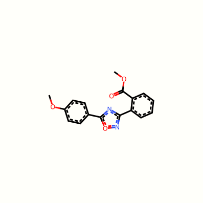 COC(=O)c1ccccc1-c1noc(-c2ccc(OC)cc2)n1